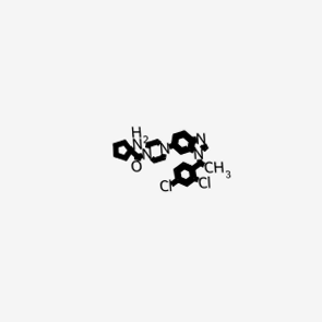 CC(c1ccc(Cl)cc1Cl)n1cnc2ccc(N3CCN(C(=O)C4(N)CCCC4)CC3)cc21